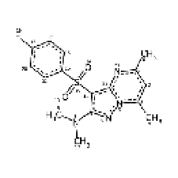 Cc1cc(C)n2nc(N(C)C)c(S(=O)(=O)c3ccc(F)cc3)c2n1